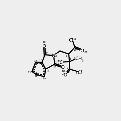 CC(C)(C(=O)Cl)C(CN1C(=O)c2ccccc2C1=O)C(=O)Cl